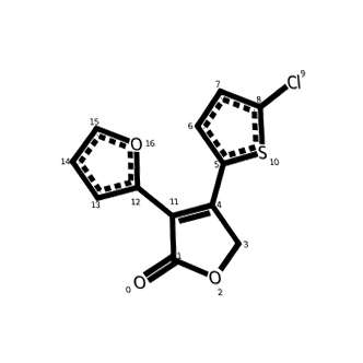 O=C1OCC(c2ccc(Cl)s2)=C1c1ccco1